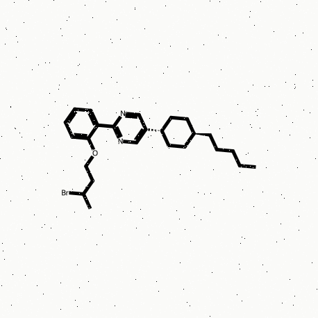 CCCCC[C@H]1CC[C@H](c2cnc(-c3ccccc3OCCC(C)Br)nc2)CC1